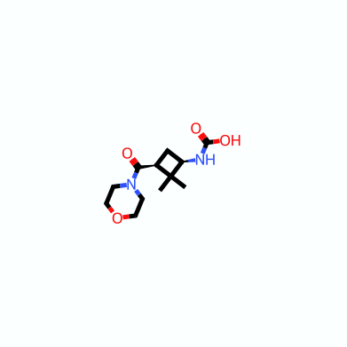 CC1(C)[C@@H](C(=O)N2CCOCC2)C[C@H]1NC(=O)O